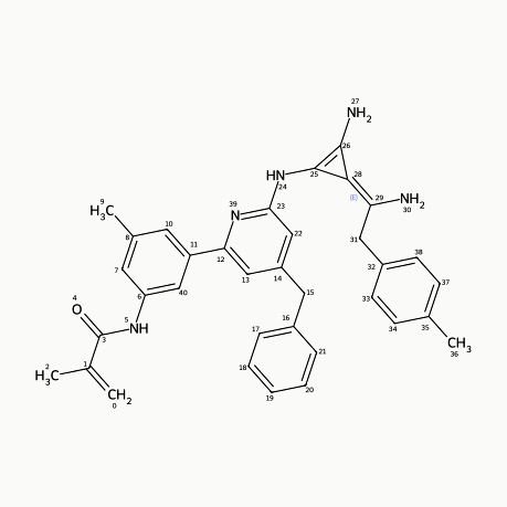 C=C(C)C(=O)Nc1cc(C)cc(-c2cc(Cc3ccccc3)cc(NC3=C(N)C/3=C(\N)Cc3ccc(C)cc3)n2)c1